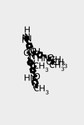 Cc1cc(C(=O)NC2CCN(C)CC2)ccc1-c1ccc(C[C@H](NC(=O)C2CCC(CNC(=O)OC(C)(C)C)CC2)C(=O)Nc2ccc(-c3nn[nH]n3)cc2)cc1